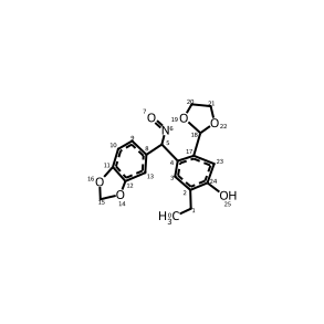 CCc1cc(C(N=O)c2ccc3c(c2)OCO3)c(C2OCCO2)cc1O